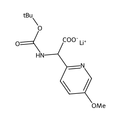 COc1ccc(C(NC(=O)OC(C)(C)C)C(=O)[O-])nc1.[Li+]